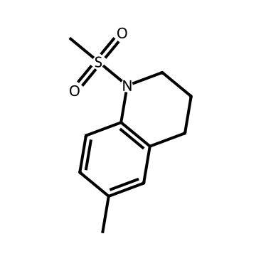 Cc1ccc2c(c1)CCCN2S(C)(=O)=O